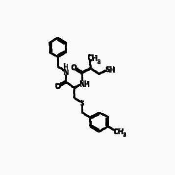 Cc1ccc(CSCC(NC(=O)C(C)CS)C(=O)NCc2ccccc2)cc1